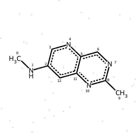 CNc1cnc2cnc(C)nc2c1